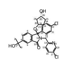 CC(C)(O)c1ccc2c(c1)C(=O)N(Cc1ccc(Cl)cn1)[C@@]2(O[C@@H]1CC[C@@H](O)C1)c1ccc(Cl)cc1